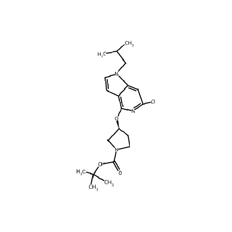 CC(C)Cn1ccc2c(O[C@H]3CCN(C(=O)OC(C)(C)C)C3)nc(Cl)cc21